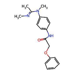 CN=C(C)N(C)c1ccc(NC(=O)COc2ccccc2)cc1